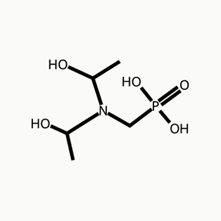 CC(O)N(CP(=O)(O)O)C(C)O